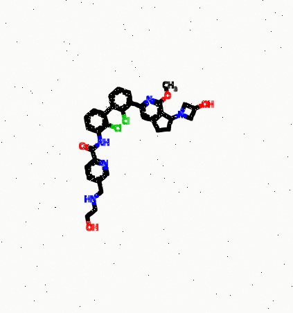 COc1nc(-c2cccc(-c3cccc(NC(=O)c4ccc(CNCCO)cn4)c3Cl)c2Cl)cc2c1C(N1CC(O)C1)CC2